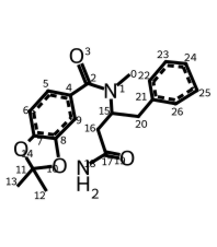 CN(C(=O)c1ccc2c(c1)OC(C)(C)O2)C(CC(N)=O)Cc1ccccc1